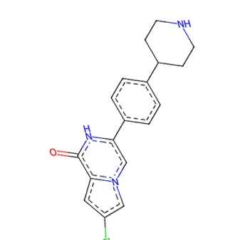 O=c1[nH]c(-c2ccc(C3CCNCC3)cc2)cn2cc(Cl)cc12